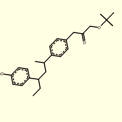 CCC(CC(C)c1ccc(CC(=O)COC(C)(C)C)cc1)c1ccc(O)cc1